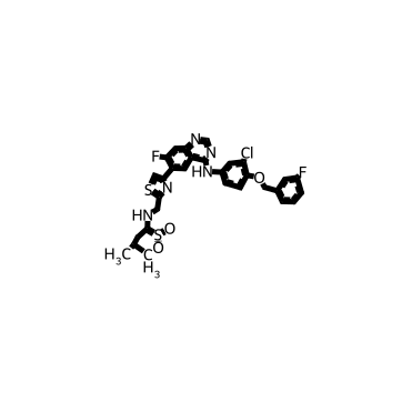 CC(C)CC(NCc1nc(-c2cc3c(Nc4ccc(OCc5cccc(F)c5)c(Cl)c4)ncnc3cc2F)cs1)=S(=O)=O